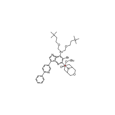 CC(C)(C)OC(=O)N1C2COCC1CC(c1nc3c(-c4ccc(-c5ccccc5)nc4)cnn3c([As](COCC[Si](C)(C)C)COCC[Si](C)(C)C)c1Br)C2